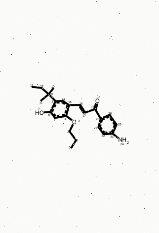 CCCOc1cc(O)c(C(C)(C)CC)cc1/C=C/C(=O)c1ccc(N)cc1